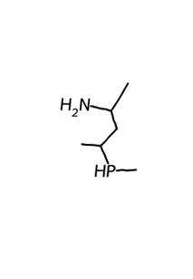 CPC(C)CC(C)N